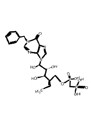 C/C=C(/COP(=O)(O)CP(=O)(O)O)[C@@H](O)[C@@H](O)[C@@H](O)n1cnc2c(=O)n(Cc3ccccc3)cnc21